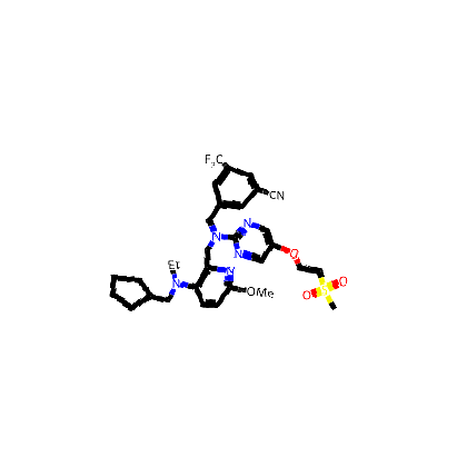 CCN(CC1CCCC1)c1ccc(OC)nc1CN(Cc1cc(C#N)cc(C(F)(F)F)c1)c1ncc(OCCS(C)(=O)=O)cn1